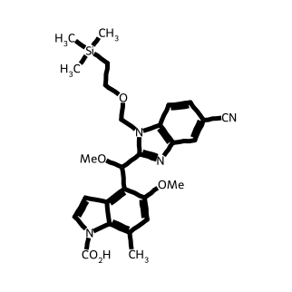 COc1cc(C)c2c(ccn2C(=O)O)c1C(OC)c1nc2cc(C#N)ccc2n1COCC[Si](C)(C)C